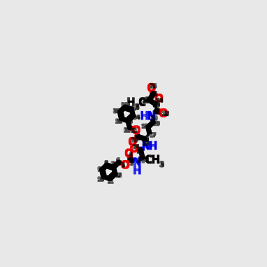 C[C@H](NC(=O)OCc1ccccc1)C(=O)N[C@@H](CCCNC(=O)[C@@H]1OC(=O)[C@H]1C)C(=O)OCc1ccccc1